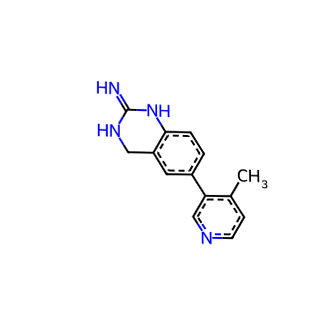 Cc1ccncc1-c1ccc2c(c1)CNC(=N)N2